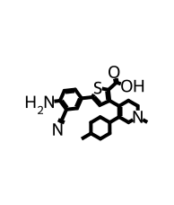 CC1CCC(C2=C(c3cc(-c4ccc(N)c(C#N)c4)sc3C(=O)O)CCN(C)C2)CC1